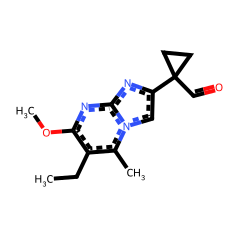 CCc1c(OC)nc2nc(C3(C=O)CC3)cn2c1C